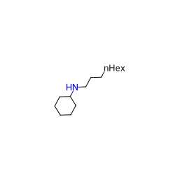 CCCCCCCCCNC1CCCCC1